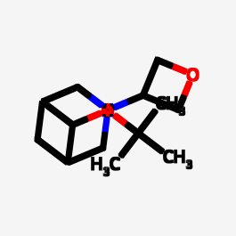 CC(C)(C)OC1C2CC1CN(C1COC1)C2